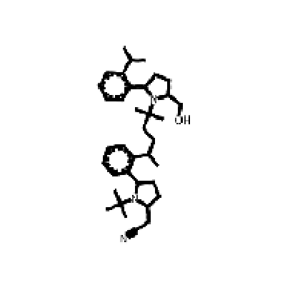 CC(C)c1ccccc1C1CCC(CO)N1C(C)(C)CCC(C)c1ccccc1C1CCC(CC#N)N1C(C)(C)C